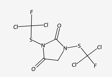 O=C1CN(SC(F)(Cl)Cl)C(=O)N1SC(F)(Cl)Cl